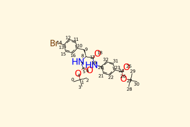 CC(C)(C)OC(=O)N[C@@H](Cc1ccc(Br)cc1)C(=O)Nc1ccc(C(=O)OC(C)(C)C)cc1